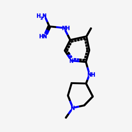 Cc1cc(NC2CCN(C)CC2)ncc1NC(=N)N